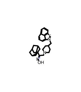 O/N=C(\CN1CCC(CN2Sc3cccc4cccc2c34)CC1)C12CC3CC(CC(C3)C1)C2